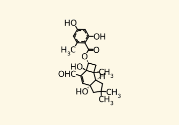 Cc1cc(O)cc(O)c1C(=O)O[C@@H]1C[C@]2(C)[C@H]3CC(C)(C)C[C@@]3(O)C=C(C=O)[C@]12O